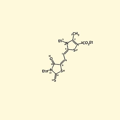 CCOC(=O)C1=C(C)N(CC)/C(=C/C=C2/SC(=S)N(CC)C2=O)S1